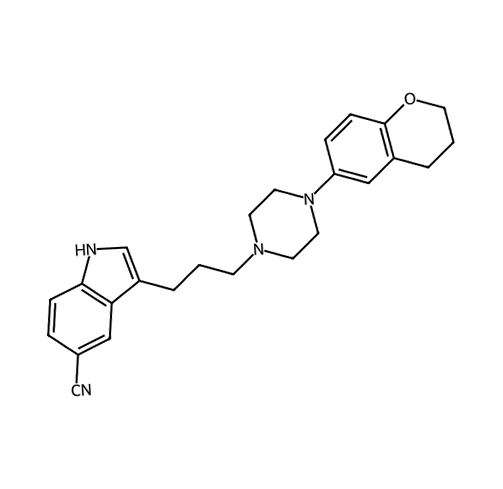 N#Cc1ccc2[nH]cc(CCCN3CCN(c4ccc5c(c4)CCCO5)CC3)c2c1